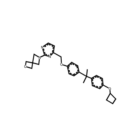 CC(C)(c1ccc(OCc2ccnc(N3CC4(COC4)C3)n2)cc1)c1ccc(OC2CCC2)cc1